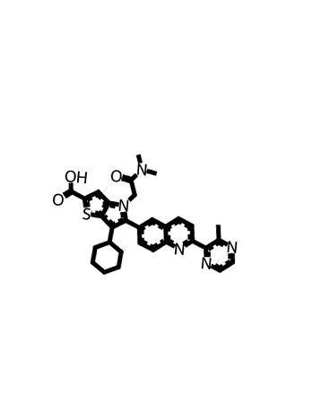 Cc1nccnc1-c1ccc2cc(-c3c(C4CCCCC4)c4sc(C(=O)O)cc4n3CC(=O)N(C)C)ccc2n1